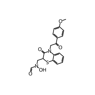 COc1ccc(C(=O)CN2C(=O)C(CN(O)C=O)Sc3ccccc32)cc1